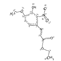 CCOC(=O)C=Nc1ccc(OC)c(O)c1[N+](=O)[O-]